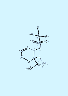 CCC1(C(=O)O)CCC=CC1OS(=O)(=O)C(F)(F)F